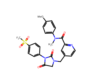 COc1ccc(N(C)C(=O)c2cc(CN3CC(=O)N(c4ccc(S(=O)(=O)C(F)(F)F)cc4)C3=O)ccn2)cc1